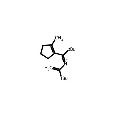 C=C(/N=C(\C1=C(C)CCC1)C(C)(C)C)C(C)(C)C